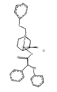 O=C(O[C@H]1C[N+]2(CSc3ccccc3)CCC1CC2)C(Nc1ccccc1)c1ccccc1.[Cl-]